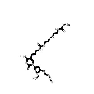 CC(C)(C)OC(=O)NCCSSCCOC(=O)NC/C=C/c1cn([C@H]2CC(OCN=[N+]=[N-])[C@@H](CO)O2)c(=O)nc1N